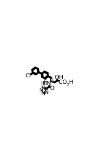 O=C(NN(Cc1ccc(-c2cccc(Cl)c2)cc1F)CC(O)C(=O)O)c1nnn[nH]1